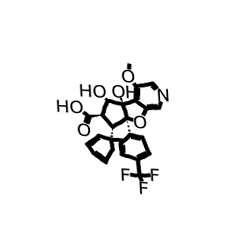 COc1cncc2c1[C@]1(O)[C@H](O)[C@H](C(=O)O)[C@@H](C3(C)C=CC=CC3)[C@]1(c1ccc(C(F)(F)F)cc1)O2